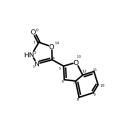 O=c1[nH]nc(-c2cc3ccccc3o2)o1